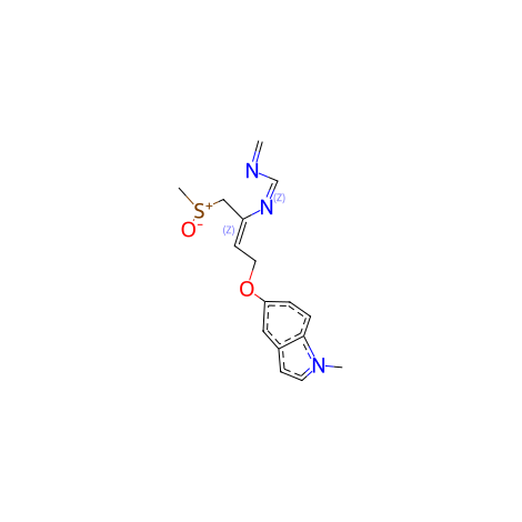 C=N/C=N\C(=C/COc1ccc2c(ccn2C)c1)C[S+](C)[O-]